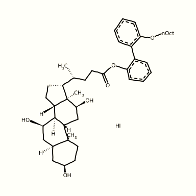 CCCCCCCCOc1ccccc1-c1ccccc1OC(=O)CC[C@@H](C)[C@H]1CC[C@H]2[C@@H]3[C@H](O)C[C@@H]4C[C@H](O)CC[C@]4(C)[C@H]3C[C@H](O)[C@]12C.I